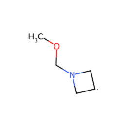 COCN1C[CH]C1